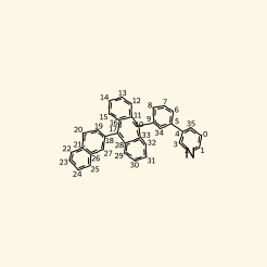 c1cncc(-c2cccc(-c3c4ccccc4c(-c4ccc5ccccc5c4)c4ccccc34)c2)c1